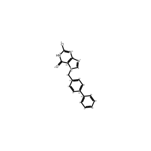 O=c1[nH]c(Cl)nc2ncn(Cc3ccc(-c4ccccc4)cc3)c12